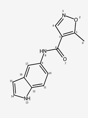 Cc1oncc1C(=O)Nc1ccc2[nH]ccc2c1